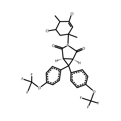 CC1C(Cl)=CC(C)(N2C(=O)[C@@H]3[C@H](C2=O)C3(c2ccc(OC(F)(F)F)cc2)c2ccc(OC(F)(F)F)cc2)CC1Cl